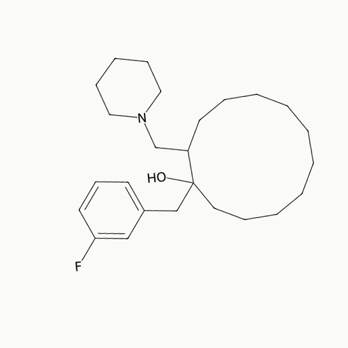 OC1(Cc2cccc(F)c2)CCCCCCCCCCC1CN1CCCCC1